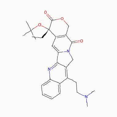 CC[C@@]1(OC(C)(C)C)C(=O)OCc2c1cc1n(c2=O)Cc2c-1nc1ccccc1c2CCN(C)C